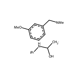 [CH2]C(O)NC(C)C.[CH2]NCc1cccc(OC)c1